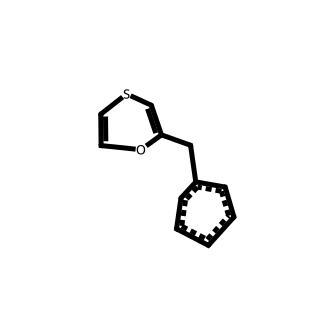 C1=CSC=C(Cc2ccccc2)O1